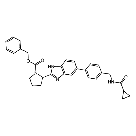 O=C(NCc1ccc(-c2ccc3[nH]c(C4CCCN4C(=O)OCc4ccccc4)nc3c2)cc1)C1CC1